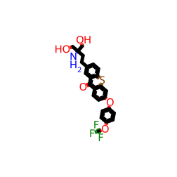 NC(CO)(CO)CCc1ccc2sc3cc(Oc4ccc(OC(F)(F)F)cc4)ccc3c(=O)c2c1